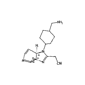 N#CCC1=N[C@]23SC=CC2=NC=C[C@H]3N1C1CCC(CN)CC1